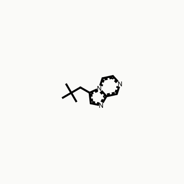 CC(C)(C)Cc1cnc2cnccn12